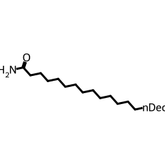 CCCCCCCCCCCCCCCCCCCCCCCC(N)=O